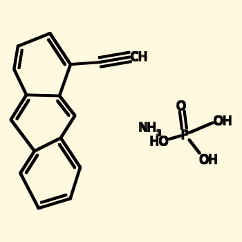 C#Cc1cccc2cc3ccccc3cc12.N.O=P(O)(O)O